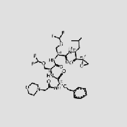 CC(C)C[C@H](NC(=O)[C@H](COC(F)F)NC(=O)[C@H](COC(F)F)NC(=O)[C@H](CCc1ccccc1)NC(=O)CN1CCOCC1)C(=O)[C@@]1(C)CO1